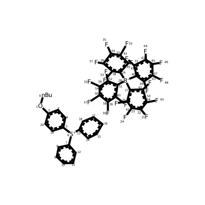 CCCCOc1ccc([S+](c2ccccc2)c2ccccc2)cc1.Fc1c(F)c(F)c([B-](c2c(F)c(F)c(F)c(F)c2F)(c2c(F)c(F)c(F)c(F)c2F)c2c(F)c(F)c(F)c(F)c2F)c(F)c1F